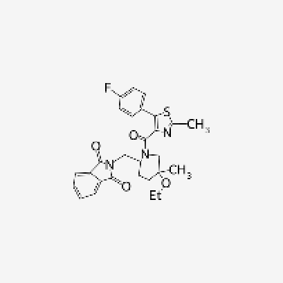 CCOC1(C)CCC(CN2C(=O)c3ccccc3C2=O)N(C(=O)c2nc(C)sc2-c2ccc(F)cc2)C1